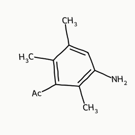 CC(=O)c1c(C)c(C)cc(N)c1C